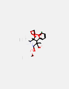 CCC1(C(=O)O)C(COC(C)=O)NC(C)C(C)(C(=O)O)C1c1cccc(F)c1C1CCC1